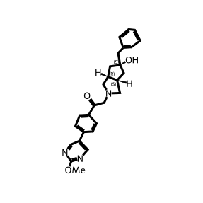 COc1ncc(-c2ccc(C(=O)CN3C[C@@H]4C[C@](O)(Cc5ccccc5)C[C@@H]4C3)cc2)cn1